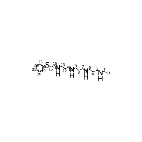 CCNCCCNCCCNCCCNCCSc1ccccc1